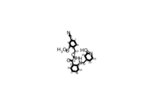 COc1cc(C#N)ccc1CONC(=O)c1ccccc1NCc1ccnc(O)c1